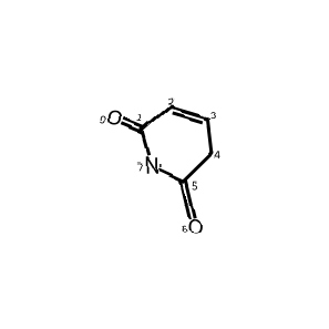 O=C1C=CCC(=O)[N]1